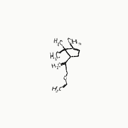 C=COCC(=C)C1CC=C(C)C1(C)C